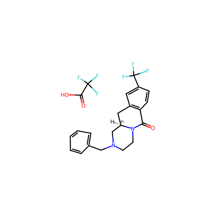 O=C(O)C(F)(F)F.O=C1c2ccc(C(F)(F)F)cc2C[C@@H]2CN(Cc3ccccc3)CCN12